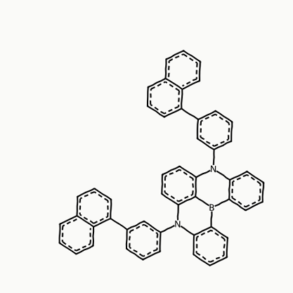 c1cc(-c2cccc3ccccc23)cc(N2c3ccccc3B3c4ccccc4N(c4cccc(-c5cccc6ccccc56)c4)c4cccc2c43)c1